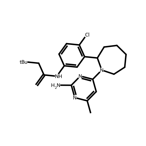 C=C(CC(C)(C)C)Nc1ccc(Cl)c(C2CCCCCN2c2cc(C)nc(N)n2)c1